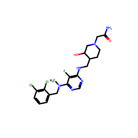 CN(Cc1cccc(Cl)c1Cl)c1ncnc(NCC2CCN(CC(N)=O)CC2O)c1F